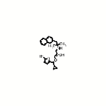 CC(C)(Cc1ccc2ccccc2c1)NC[C@@H](O)COC(c1ccc(Br)o1)C1CC1